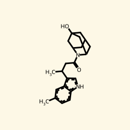 Cc1ccc2[nH]cc(C(C)CC(=O)N3C4CC5CC3CC(O)(C5)C4)c2c1